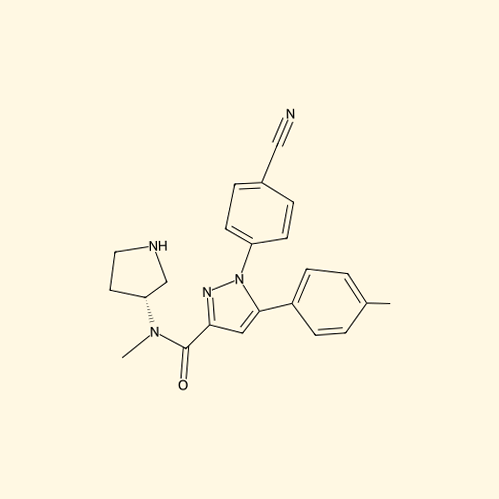 Cc1ccc(-c2cc(C(=O)N(C)[C@@H]3CCNC3)nn2-c2ccc(C#N)cc2)cc1